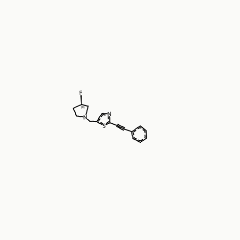 F[C@@H]1CCN(Cc2cnc(C#Cc3ccccc3)s2)C1